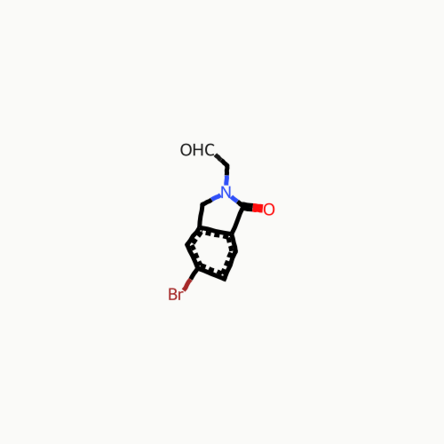 O=CCN1Cc2cc(Br)ccc2C1=O